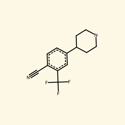 N#Cc1ccc(C2CC[N]CC2)cc1C(F)(F)F